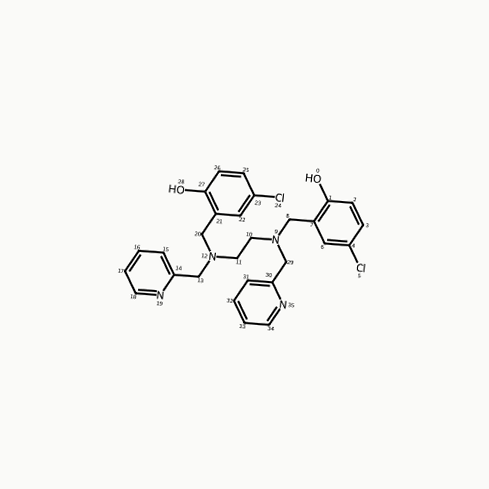 Oc1ccc(Cl)cc1CN(CCN(Cc1ccccn1)Cc1cc(Cl)ccc1O)Cc1ccccn1